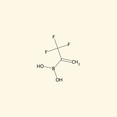 C=C(B(O)O)C(F)(F)F